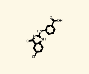 O=C(O)c1cccc(Nc2nc(=O)c3cc(Cl)ccc3[nH]2)c1